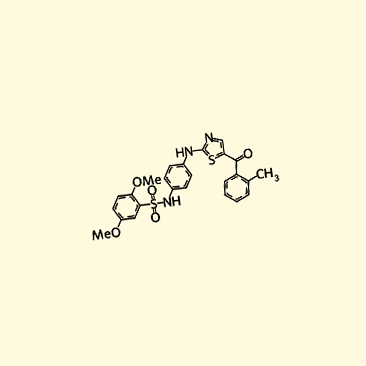 COc1ccc(OC)c(S(=O)(=O)Nc2ccc(Nc3ncc(C(=O)c4ccccc4C)s3)cc2)c1